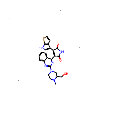 CN1CCN(c2nc(C3=C(c4c[nH]c5sccc45)C(=O)NC3=O)c3ccccc3n2)CC1CO